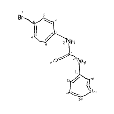 O=C(Nc1ccc(Br)cc1)Nc1cccnc1